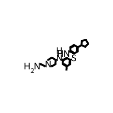 Cc1cc(NC2CCN(CCN)CC2)c2c(c1)Sc1cc(C3CCCC3)ccc1N2